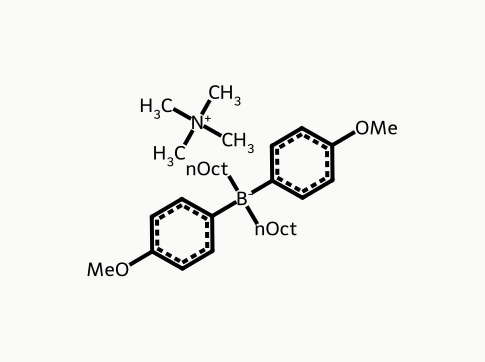 CCCCCCCC[B-](CCCCCCCC)(c1ccc(OC)cc1)c1ccc(OC)cc1.C[N+](C)(C)C